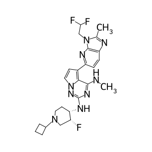 CNc1nc(N[C@H]2CCN(C3CCC3)C[C@H]2F)nn2ccc(-c3ccc4nc(C)n(CC(F)F)c4n3)c12